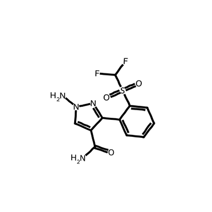 NC(=O)c1cn(N)nc1-c1ccccc1S(=O)(=O)C(F)F